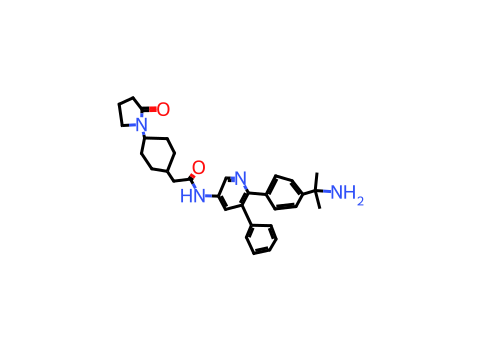 CC(C)(N)c1ccc(-c2ncc(NC(=O)CC3CCC(N4CCCC4=O)CC3)cc2-c2ccccc2)cc1